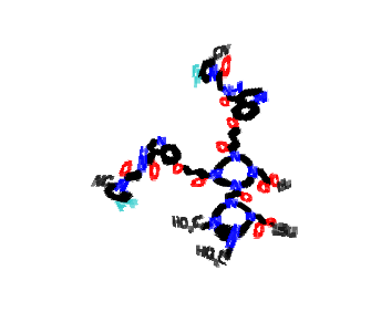 CC(C)(C)OC(=O)CN1CCN(CC(=O)O)CCN(CC(=O)O)CCN(CC(=O)N2CCN(CC(=O)OC(C)(C)C)CCN(C(=O)CCCOc3ccc4nccc(C(=O)NCC(=O)N5CC(F)(F)C[C@H]5C#N)c4c3)CCN(C(=O)CCCOc3ccc4nccc(C(=O)NCC(=O)N5CC(F)(F)C[C@H]5C#N)c4c3)CC2)CC1